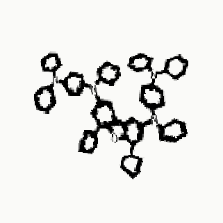 C1=CCC(c2cc(N(c3ccc(N(c4ccccc4)C4C=CC=CC4)cc3)C3C=CC=CC3)cc3c2oc2c(-c4ccccc4)cc(N(c4ccccc4)c4ccc(N(c5ccccc5)c5ccccc5)cc4)cc23)C=C1